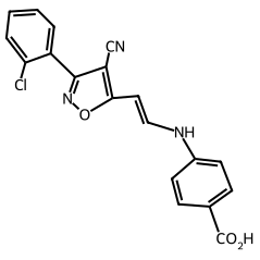 N#Cc1c(-c2ccccc2Cl)noc1C=CNc1ccc(C(=O)O)cc1